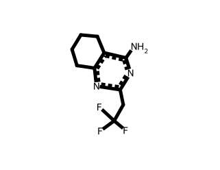 Nc1nc(CC(F)(F)F)nc2c1CCCC2